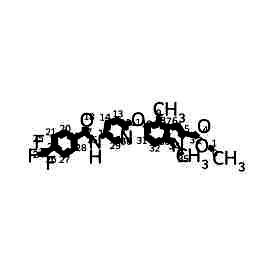 CCOC(=O)c1cc2c(C)c(Oc3ccc(NC(=O)c4ccc(C(F)(F)F)cc4)cn3)ccc2n1C